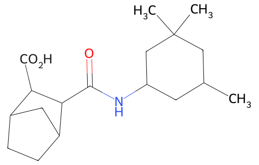 CC1CC(NC(=O)C2C3CCC(C3)C2C(=O)O)CC(C)(C)C1